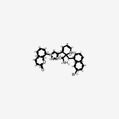 NC(=O)C1(Cc2cccc3ccc(Br)cc23)NC=CC=C1c1cn(-c2cccc3ccc(=O)oc23)nn1